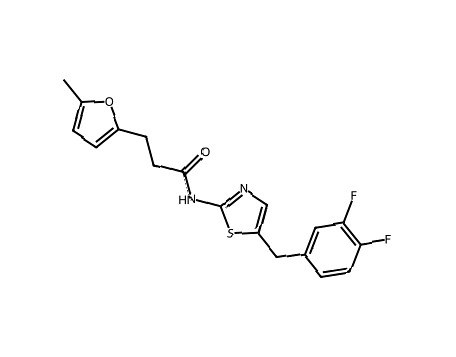 Cc1ccc(CCC(=O)Nc2ncc(Cc3ccc(F)c(F)c3)s2)o1